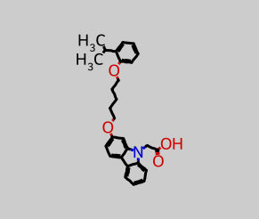 CC(C)c1ccccc1OCCCCCOc1ccc2c3ccccc3n(CC(=O)O)c2c1